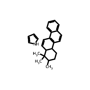 CC1CCC2c3ccc4ccccc4c3C=CC2C1(C)C.c1cc[nH]c1